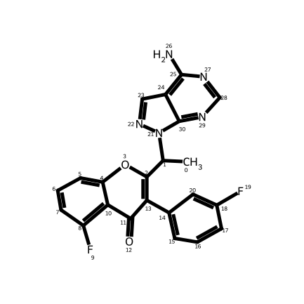 CC(c1oc2cccc(F)c2c(=O)c1-c1cccc(F)c1)n1ncc2c(N)ncnc21